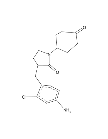 Nc1ccc(CC2CCN(C3CCC(=O)CC3)C2=O)c(Cl)c1